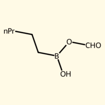 CCCCCB(O)OC=O